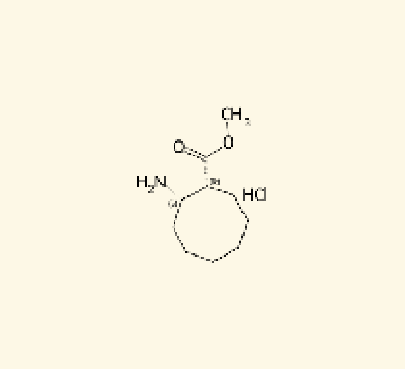 COC(=O)[C@@H]1CCCCCC[C@@H]1N.Cl